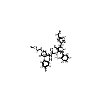 COCCN1C[C@@H](NC(=O)Nc2c(C)c(-c3nc(CF)no3)nn2-c2ccccc2)[C@H](c2ccc(F)cc2)C1